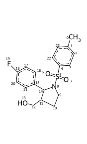 Cc1ccc(S(=O)(=O)N2CCC(CO)C2c2ccc(F)cc2)cc1